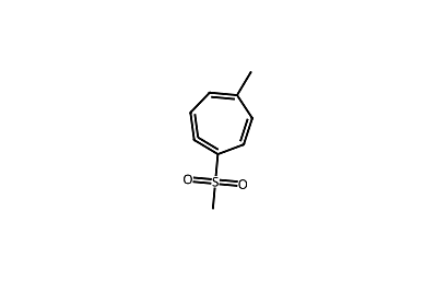 CC1=CC=C=C(S(C)(=O)=O)C=C1